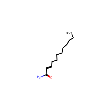 CCCCCCCCCCCCCCCCC=CC(N)=O